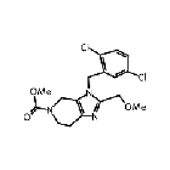 COCc1nc2c(n1Cc1cc(Cl)ccc1Cl)CN(C(=O)OC)CC2